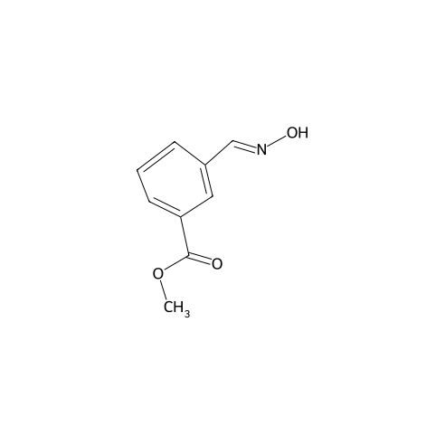 COC(=O)c1cccc(C=NO)c1